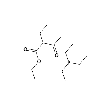 CCOC(=O)C(CC)C(C)=O.CCP(CC)CC